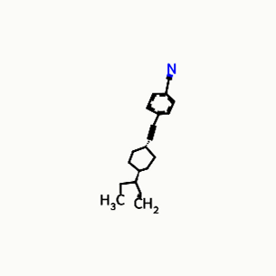 C=CC(CC)[C@H]1CC[C@H](C#Cc2ccc(C#N)cc2)CC1